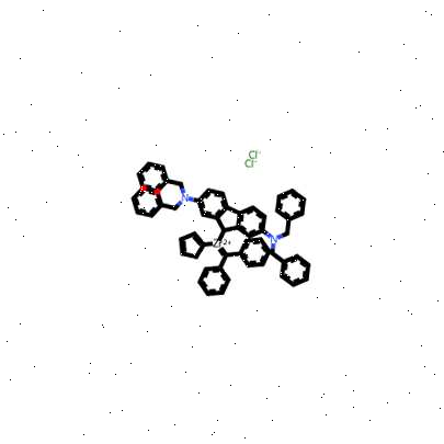 C1=CC[C]([Zr+2](=[C](c2ccccc2)c2ccccc2)[CH]2c3cc(N(Cc4ccccc4)Cc4ccccc4)ccc3-c3ccc(N(Cc4ccccc4)Cc4ccccc4)cc32)=C1.[Cl-].[Cl-]